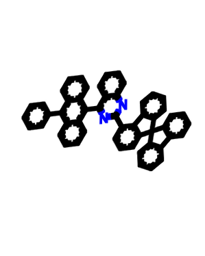 c1ccc(-c2c3ccccc3c(-c3nc(-c4cccc5c4-c4ccccc4C54c5ccccc5-c5ccccc54)nc4ccccc34)c3ccccc23)cc1